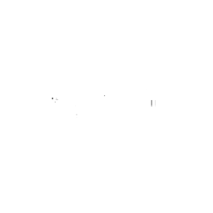 COC(=O)c1ccn2cc(Cc3cccc(F)c3C)c(-c3ccccc3)c2c1